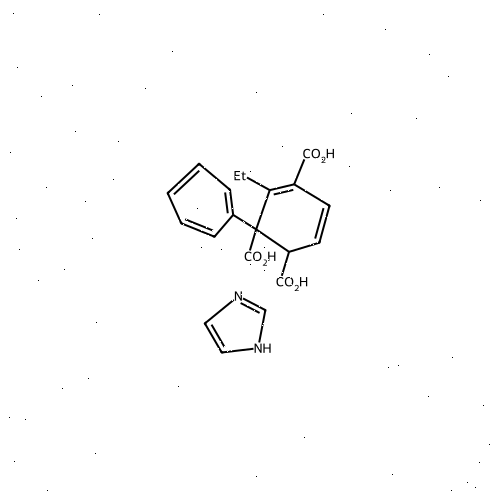 CCC1=C(C(=O)O)C=CC(C(=O)O)C1(C(=O)O)c1ccccc1.c1c[nH]cn1